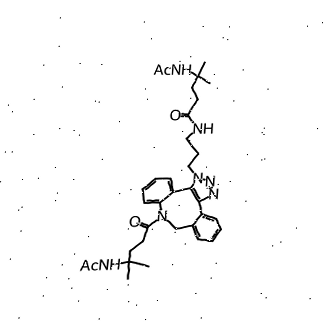 CC(=O)NC(C)(C)CCC(=O)NCCCn1nnc2c1-c1ccccc1N(C(=O)CCC(C)(C)NC(C)=O)Cc1ccccc1-2